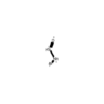 O=[SiH][NH][Bi]